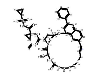 C=C[C@@H]1C[C@]1(NC(=O)[C@@H]1C[C@@H]2CN1C(=O)[C@H](CCCC)NC(=O)OCCCCC/C=C/c1ccc3nc(-c4ccccc4)cc(c3c1)O2)C(=O)NS(=O)(=O)C1CC1